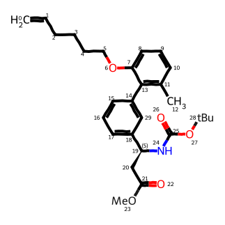 C=CCCCCOc1cccc(C)c1-c1cccc([C@H](CC(=O)OC)NC(=O)OC(C)(C)C)c1